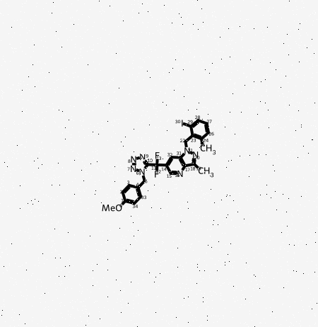 COc1ccc(Cn2nnnc2C(F)(F)c2cnc3c(C)nn(Cc4c(C)cccc4I)c3c2)cc1